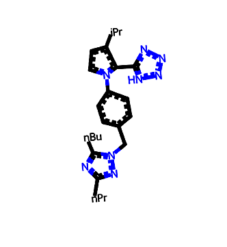 CCCCc1nc(CCC)nn1Cc1ccc(-n2ccc(C(C)C)c2-c2nnn[nH]2)cc1